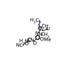 C=c1/c(=C\C=C/C)cc(-c2nc3cc(C(=O)N4CC5C[C@H](OCCC#N)C4C5N)cc(OC)c3n2C)n1CC1CC1